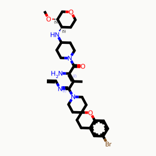 C=C/N=C(\C(C)=C(/N)C(=O)N1CCC(N[C@H]2CCOC[C@H]2OC)CC1)N1CCC2(CCc3cc(Br)ccc3O2)CC1